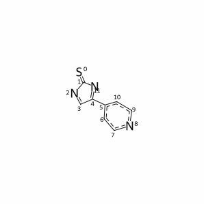 S=C1N=CC(c2ccncc2)=N1